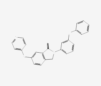 O=C1c2cc(Nc3ccncc3)ccc2CN1c1cccc(Oc2ccccc2)c1